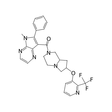 Cn1c(-c2ccccc2)c(C(=O)N2CCN3CC(Oc4cccnc4C(F)(F)F)CC3C2)c2nccnc21